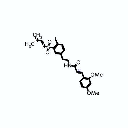 COc1ccc(/C=C/C(=O)NCCc2ccc(I)c(S(=O)(=O)N=CN(C)C)c2)c(OC)c1